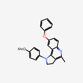 COc1ccc(N2CCc3c(C)nc4ccc(Oc5ccccc5)cc4c32)cc1